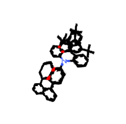 CC(C)(C)c1cc2c(c(C(C)(C)C)c1)C(C)(C)c1cccc(N(c3ccc(-c4cccc5cccc(C6CCCCC6)c45)cc3)c3ccccc3-c3cccc4ccccc34)c1-2